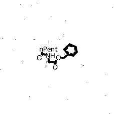 CCCCCC(=O)N[C@@H](C)C(=O)OCc1ccccc1